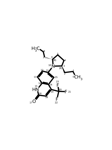 CCC[C@@H]1CC[C@@H](CCC)N1c1ccc2[nH]c(=O)cc(C(F)(F)F)c2c1